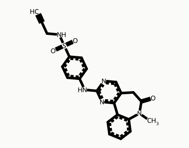 C#CCNS(=O)(=O)c1ccc(Nc2ncc3c(n2)-c2ccccc2N(C)C(=O)C3)cc1